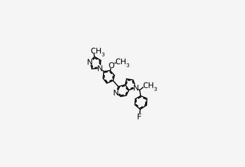 COc1cc(-c2nccc3c2ccn3C(C)c2ccc(F)cc2)ccc1-n1cnc(C)c1